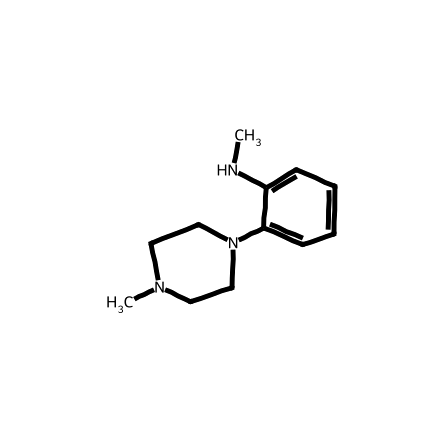 CNc1ccccc1N1CCN(C)CC1